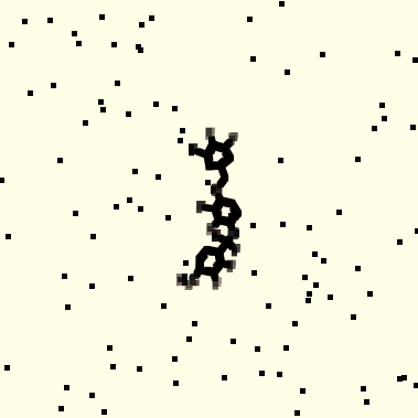 Cc1ccc(C(F)(F)Oc2ccc(OCc3cc(F)c(F)c(F)c3)c(F)c2F)c(F)c1F